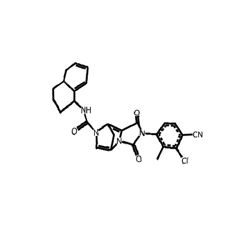 Cc1c(N2C(=O)C3=C4CC(=CN4C(=O)NC4CCCC5CC=CC=C54)N3C2=O)ccc(C#N)c1Cl